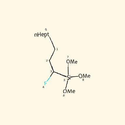 CCCCCCCCCC(F)[Si](OC)(OC)OC